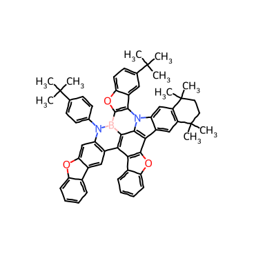 CC(C)(C)c1ccc(N2B3c4oc5ccc(C(C)(C)C)cc5c4-n4c5cc6c(cc5c5c7oc8ccccc8c7c(c3c54)-c3cc4c(cc32)oc2ccccc24)C(C)(C)CCC6(C)C)cc1